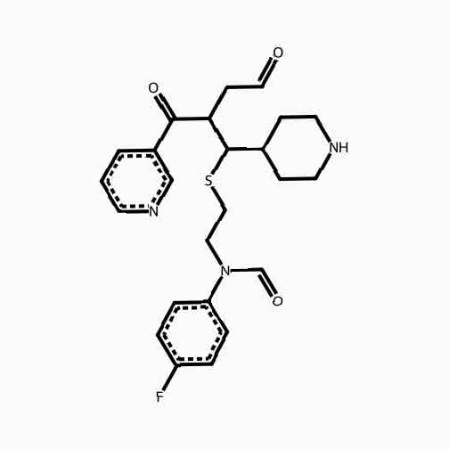 O=CCC(C(=O)c1cccnc1)C(SCCN(C=O)c1ccc(F)cc1)C1CCNCC1